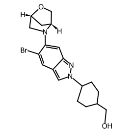 OCC1CCC(n2cc3cc(Br)c(N4C[C@H]5C[C@@H]4CO5)cc3n2)CC1